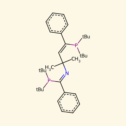 CC(C)(C=C(c1ccccc1)P(C(C)(C)C)C(C)(C)C)N=C(c1ccccc1)P(C(C)(C)C)C(C)(C)C